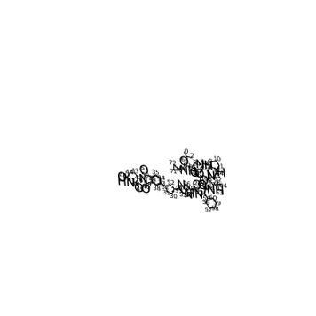 CCC[C@H](NC(=O)[C@@H]1[C@H]2CCC[C@H]2CN1C(=O)[C@@H](NC(=O)[C@@H](NC(=O)c1cnc([C@H]2CCC(c3ccc4c(c3)C(=O)N(C3CCC(=O)NC3=O)C4=O)C2)cn1)C1CCCCC1)C(C)(C)C)C(=O)C(=O)NC1CC1